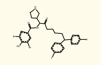 O=C(NC(C(=O)CCCCC(c1ccc(F)cc1)c1ccc(F)cc1)C1CCNC1)c1cc(Br)c(O)c(Br)c1